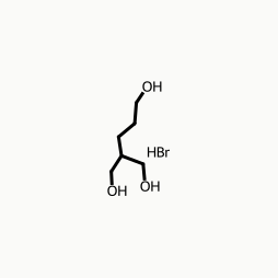 Br.OCCCC(CO)CO